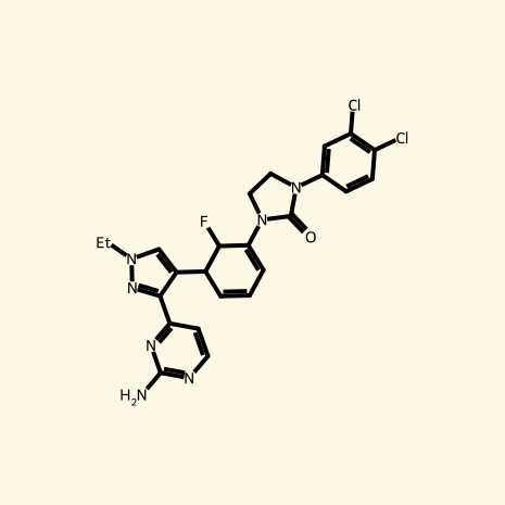 CCn1cc(C2C=CC=C(N3CCN(c4ccc(Cl)c(Cl)c4)C3=O)C2F)c(-c2ccnc(N)n2)n1